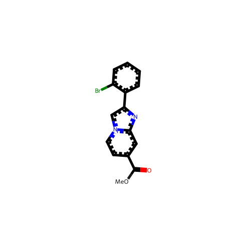 COC(=O)c1ccn2cc(-c3ccccc3Br)nc2c1